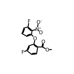 COC(=O)c1ccc(F)cc1Oc1cccc(F)c1[N+](=O)[O-]